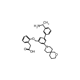 C[C@@H](N)c1cccc(-c2cc(COc3ccccc3CC(=O)O)cc(N3CCC4(CCCOC4)CC3)c2)c1